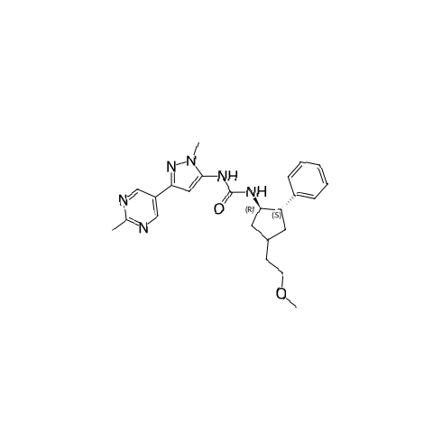 COCCC1C[C@@H](NC(=O)Nc2cc(-c3cnc(C)nc3)nn2C)[C@H](c2ccccc2)C1